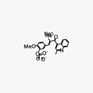 COc1ccc(C=C(C)C(=O)c2cc(C)nc3ccccc23)cc1OP(=O)([O-])[O-].[Na+].[Na+]